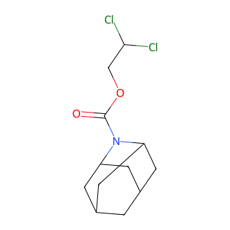 O=C(OCC(Cl)Cl)N1C2CC3CC(C2)CC1C3